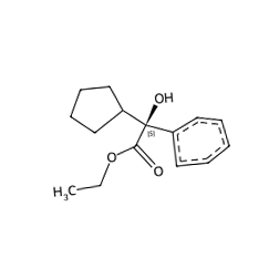 CCOC(=O)[C@@](O)(c1ccccc1)C1CCCC1